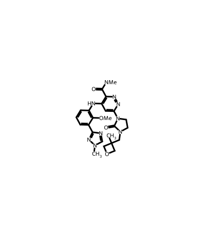 CNC(=O)c1nnc(N2CCN(CC3(C)COC3)C2=O)cc1Nc1cccc(-c2ncn(C)n2)c1OC